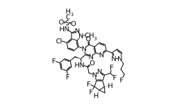 Cn1nc(NS(C)(=O)=O)c2c(Cl)ccc(-n3c([C@H](Cc4cc(F)cc(F)c4)NC(=O)Cn4nc(C(F)F)c5c4C(F)(F)[C@@H]4C[C@H]54)nc4nc(-c5ccn(CCCF)n5)ccc4c3=O)c21